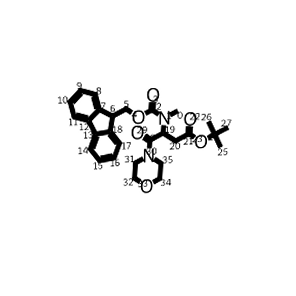 CN(C(=O)OCC1c2ccccc2-c2ccccc21)C(CC(=O)OC(C)(C)C)C(=O)N1CCOCC1